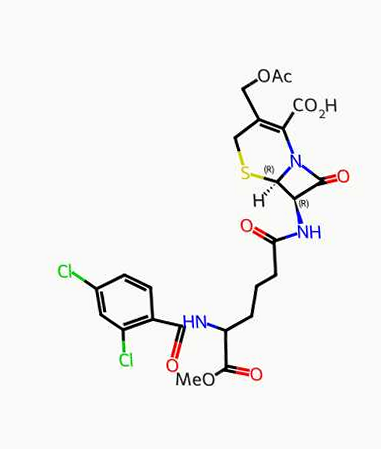 COC(=O)C(CCCC(=O)N[C@@H]1C(=O)N2C(C(=O)O)=C(COC(C)=O)CS[C@H]12)NC(=O)c1ccc(Cl)cc1Cl